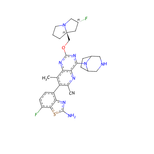 Cc1c(-c2ccc(F)c3sc(N)nc23)c(C#N)nc2c(N3C4CCC3CNC4)nc(OC[C@@]34CCCN3C[C@H](F)C4)nc12